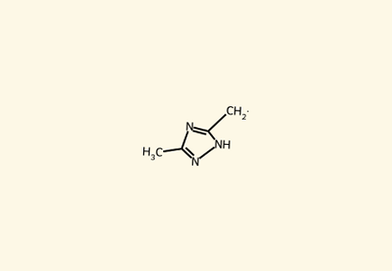 [CH2]c1nc(C)n[nH]1